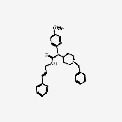 COc1ccc(C(C(=O)NCC=Cc2ccccc2)C2CCN(Cc3ccccc3)CC2)cc1